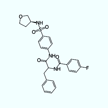 O=C(NC(Cc1ccccc1)C(=O)Nc1ccc(S(=O)(=O)N[C@H]2CCOC2)cc1)c1ccc(F)cc1